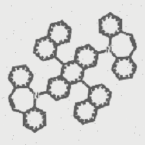 C1=Cc2ccccc2N(c2ccc3c(-c4cccc5ccccc45)c4cc(N5c6ccccc6C=Cc6ccccc65)ccc4c(-c4cccc5ccccc45)c3c2)c2ccccc21